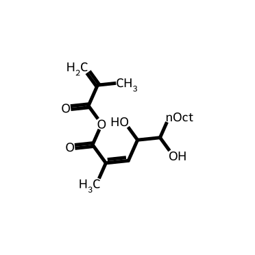 C=C(C)C(=O)OC(=O)C(C)=CC(O)C(O)CCCCCCCC